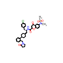 CN(c1ccc2oc(C(=O)N[C@@H](C=C3CCC(c4ccccc4CN4CCCC4=O)CC3)Cc3ccc(Cl)cc3)cc(=O)c2c1)S(C)(=O)=O